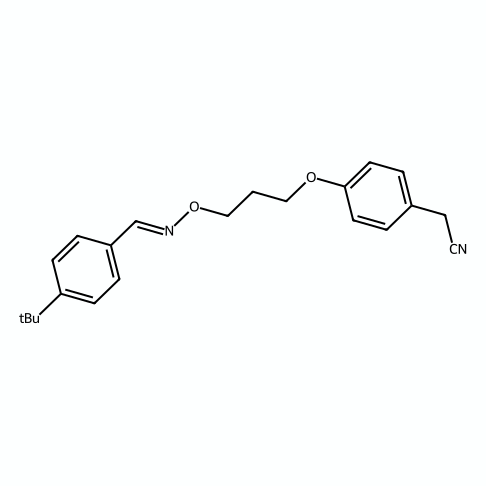 CC(C)(C)c1ccc(C=NOCCCOc2ccc(CC#N)cc2)cc1